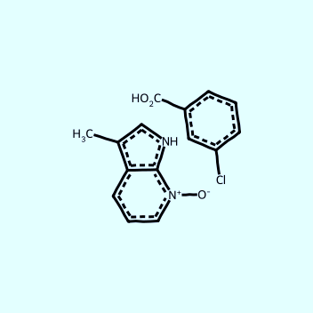 Cc1c[nH]c2c1ccc[n+]2[O-].O=C(O)c1cccc(Cl)c1